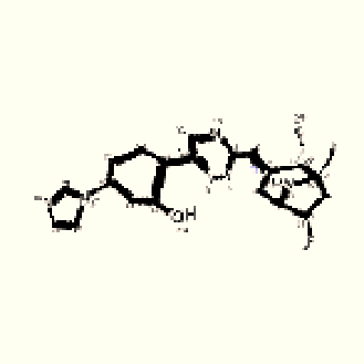 C[C@]12C[C@@H](F)C(C/C(=C\c3ncc(-c4ccc(-n5ccnc5)cc4O)nn3)[C@@H]1F)N2